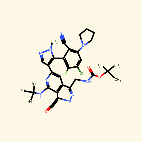 [2H]C([2H])([2H])Nc1nc(-c2cnn(C)c2-c2c(F)c(Cl)cc(N3CCCC3)c2C#N)cc2c1C(=C=O)NN=C2CNC(=O)OC(C)(C)C